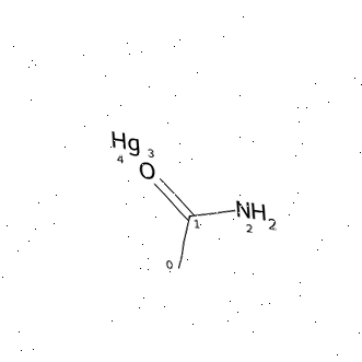 CC(N)=O.[Hg]